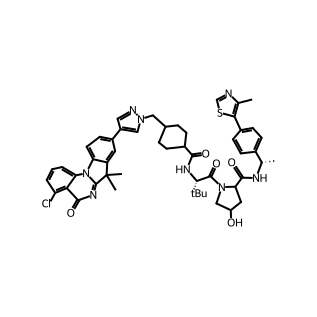 Cc1ncsc1-c1ccc([C@H](C)NC(=O)C2CC(O)CN2C(=O)[C@@H](NC(=O)C2CCC(Cn3cc(-c4ccc5c(c4)C(C)(C)c4nc(=O)c6c(Cl)cccc6n4-5)cn3)CC2)C(C)(C)C)cc1